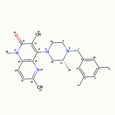 Cc1cc(C)cc(CN2CCN(c3c(C#N)c(=O)n(C)c4ccc(C#N)nc34)C[C@H]2C)c1